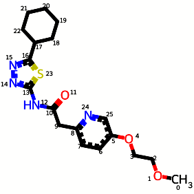 COCCOc1ccc(CC(=O)Nc2nnc(C3CCCCC3)s2)nc1